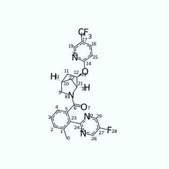 Cc1cccc(C(=O)N2C[C@H]3C[C@@H](Oc4ccc(C(F)(F)F)cn4)[C@@H]2C3)c1-c1ncc(F)cn1